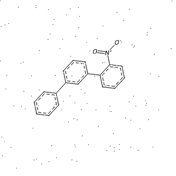 O=[N+]([O-])c1ccccc1-c1cccc(-c2ccccc2)c1